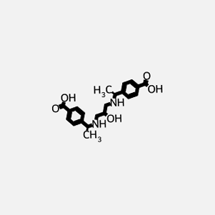 C[C@H](NCC(O)CN[C@@H](C)c1ccc(C(=O)O)cc1)c1ccc(C(=O)O)cc1